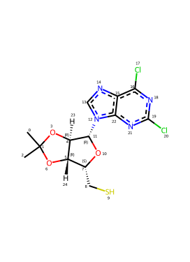 CC1(C)O[C@@H]2[C@@H](O1)[C@@H](CS)O[C@H]2n1cnc2c(Cl)nc(Cl)nc21